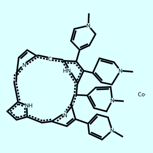 CN1C=CC(C2=Cc3cc4ccc(cc5nc(cc6[nH]c(c(C7=CCN(C)C=C7)c2n3)c(C2=CCN(C)C=C2)c6C2=CCN(C)C=C2)C=C5)[nH]4)=CC1.[Co]